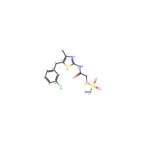 CNS(=O)(=O)OCC(=O)Nc1nc(C)c(Cc2cccc(Cl)c2)s1